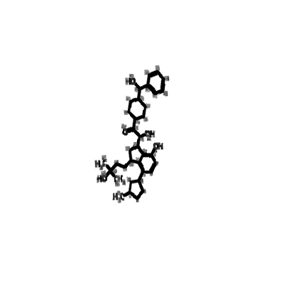 CC1CCC(c2ccc(O)c3c2C(CCC(C)(C)O)CC3C(O)C(=O)C2CCC(C(O)c3ccccc3)CC2)C1